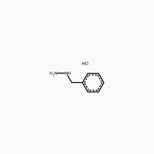 Cl.NNCc1ccccc1